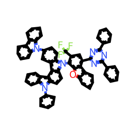 FC(F)(F)c1cc(-c2nc(-c3ccccc3)nc(-c3ccccc3)n2)c2c(oc3ccccc32)c1-n1c2ccc(-n3c4ccccc4c4ccccc43)cc2c2c3c4ccccc4n(-c4ccccc4)c3ccc21